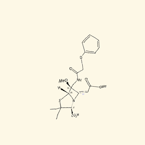 COC(=O)/C=C1/N2[C@@H](C(=O)O)C(C)(C)S[C@@H]2[C@@]1(NC(=O)COc1ccccc1)OC